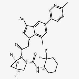 CC(=O)c1nn(CC(=O)N2[C@H](C(=O)N[C@H]3CCCCC3(F)F)C[C@@]3(C)C[C@@H]23)c2c(C)cc(-c3cnc(C)nc3)cc12